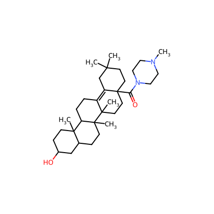 CN1CCN(C(=O)C23CCC(C)(C)CC2=C2CCC4C5(C)CCC(O)CC5CCC4(C)C2(C)CC3)CC1